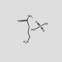 N=C(N)SCCN.O=S(=O)(O)O